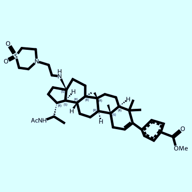 COC(=O)c1ccc(C2=CC[C@]3(C)[C@H]4CC[C@@H]5[C@H]6[C@H](C(C)NC(C)=O)CC[C@]6(NCCN6CCS(=O)(=O)CC6)CC[C@@]5(C)[C@]4(C)CC[C@H]3C2(C)C)cc1